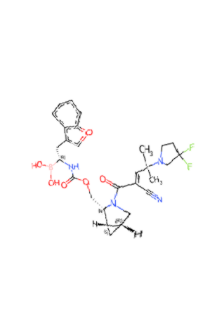 CC(C)(C=C(C#N)C(=O)N1C[C@@H]2C[C@@H]2[C@@H]1COC(=O)N[C@@H](Cc1coc2ccccc12)B(O)O)N1CCC(F)(F)C1